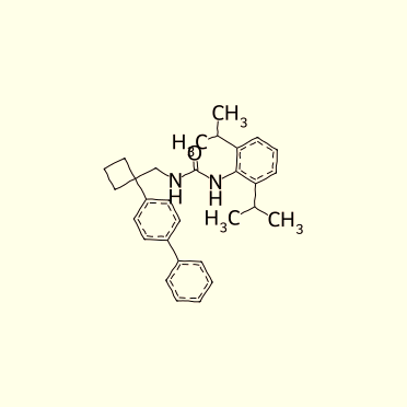 CC(C)c1cccc(C(C)C)c1NC(=O)NCC1(c2ccc(-c3ccccc3)cc2)CCC1